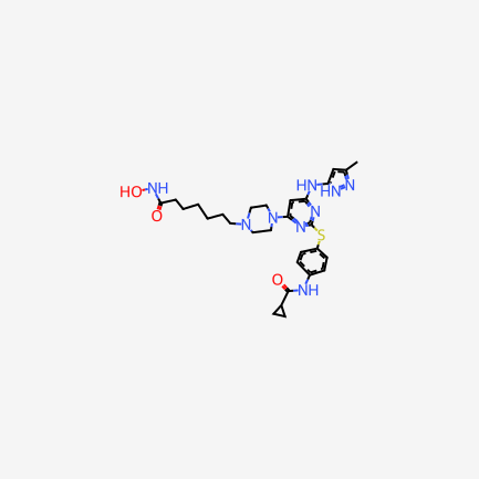 Cc1cc(Nc2cc(N3CCN(CCCCCCC(=O)NO)CC3)nc(Sc3ccc(NC(=O)C4CC4)cc3)n2)[nH]n1